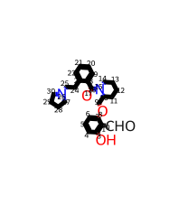 O=Cc1c(O)cccc1OCC1CCCCN1C(=O)c1ccccc1CCN1CCCC1